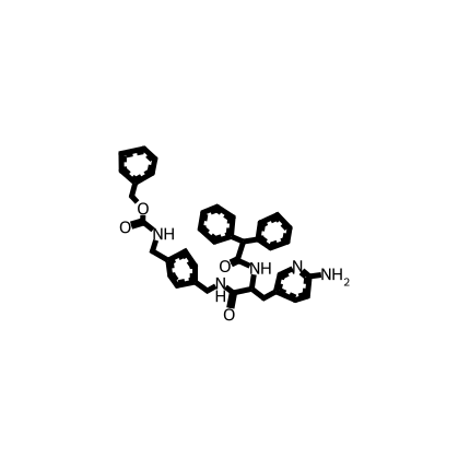 Nc1ccc(CC(NC(=O)C(c2ccccc2)c2ccccc2)C(=O)NCc2ccc(CNC(=O)OCc3ccccc3)cc2)cn1